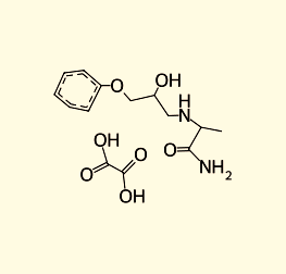 CC(NCC(O)COc1ccccc1)C(N)=O.O=C(O)C(=O)O